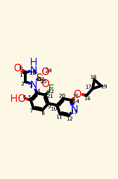 O=C1CN(c2c(O)ccc(-c3ccnc(OCC4CC4)c3)c2F)S(=O)(=O)N1